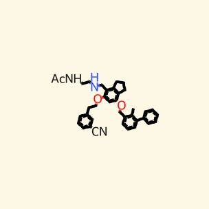 CC(=O)NCCNCc1c(OCCc2cccc(C#N)c2)cc(OCc2cccc(-c3ccccc3)c2C)c2c1CCC2